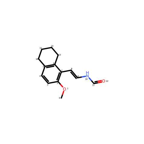 COc1ccc2c(c1/C=C/NC=O)CCCC2